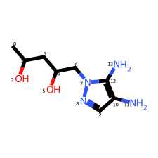 CC(O)CC(O)Cn1ncc(N)c1N